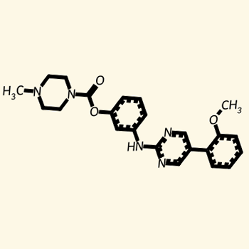 COc1ccccc1-c1cnc(Nc2cccc(OC(=O)N3CCN(C)CC3)c2)nc1